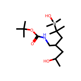 CC(O)CC(CNC(=O)OC(C)(C)C)CC(C)(C)[Si](C)(C)O